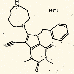 Cl.Cn1c(=O)c2c(c(C#N)c(N3CCCNCC3)n2Cc2ccccc2)n(C)c1=O